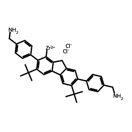 CC(C)(C)c1cc2c(cc1-c1ccc(CN)cc1)Cc1c-2cc(C(C)(C)C)c(-c2ccc(CN)cc2)[c]1[Zr+2].[Cl-].[Cl-]